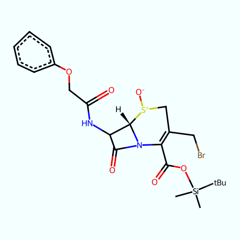 CC(C)(C)[Si](C)(C)OC(=O)C1=C(CBr)C[S+]([O-])[C@H]2C(NC(=O)COc3ccccc3)C(=O)N12